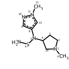 CN1CCC(N(SN)c2cnn(C)c2)C1